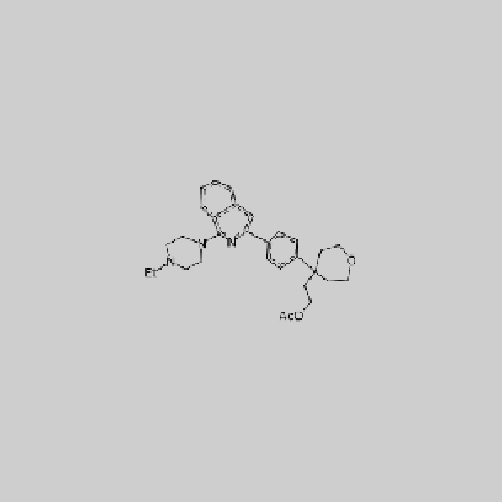 CCN1CCN(c2nc(-c3ccc(C4(CCOC(C)=O)CCOCC4)cc3)cc3ccccc23)CC1